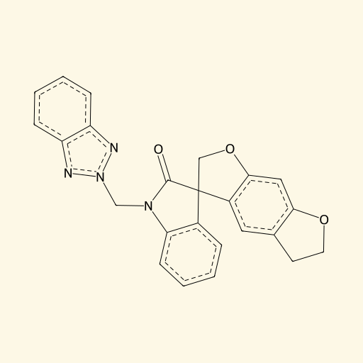 O=C1N(Cn2nc3ccccc3n2)c2ccccc2C12COc1cc3c(cc12)CCO3